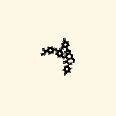 CCCCn1cc(-c2ccc(Cl)cc2Cl)nc1[C@H](Cc1ccc(Oc2ccc(C(=O)O)cc2)cc1)NC(=O)Nc1ccc(F)cc1